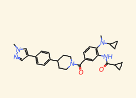 CN(c1ccc(C(=O)N2CCC(c3ccc(-c4cnn(C)c4)cc3)CC2)cc1NC(=O)C1CC1)C1CC1